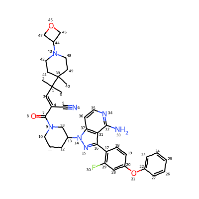 CC(C)(C=C(C#N)C(=O)N1CCCC(n2nc(-c3ccc(Oc4ccccc4)cc3F)c3c(N)nccc32)C1)C1(C)CCN(C2COC2)CC1